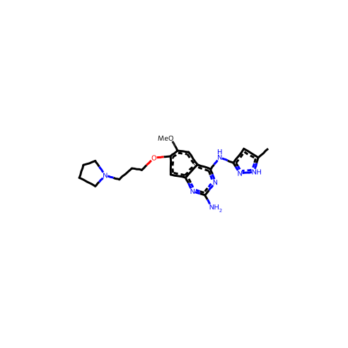 COc1cc2c(Nc3cc(C)[nH]n3)nc(N)nc2cc1OCCCN1CCCC1